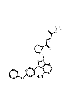 COC(=O)/C=C/C(=O)N1CCC[C@H]1Cn1nc(-c2ccc(Oc3ccccc3)cc2)c2c(N)ncnc21